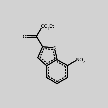 CCOC(=O)C(=O)c1cc2cccc([N+](=O)[O-])c2s1